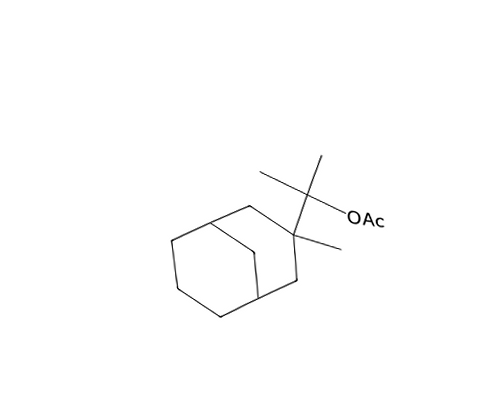 CC(=O)OC(C)(C)C1(C)CC2CCCC(C2)C1